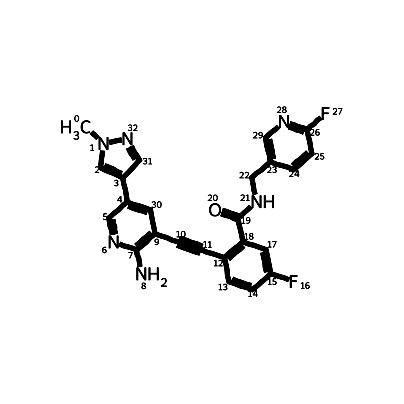 Cn1cc(-c2cnc(N)c(C#Cc3ccc(F)cc3C(=O)NCc3ccc(F)nc3)c2)cn1